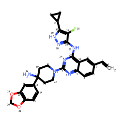 C=Cc1ccc2nc(N3CCC(N)(c4ccc5c(c4)OCO5)CC3)nc(Nc3n[nH]c(C4CC4)c3F)c2c1